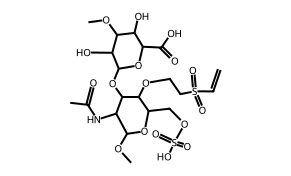 C=CS(=O)(=O)CCOC1C(COS(=O)(=O)O)OC(OC)C(NC(C)=O)C1OC1OC(C(=O)O)C(O)C(OC)C1O